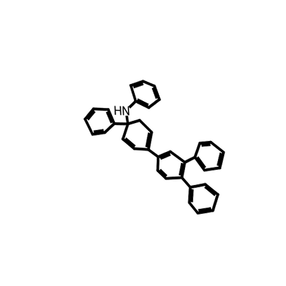 C1=CC(Nc2ccccc2)(c2ccccc2)CC=C1c1ccc(-c2ccccc2)c(-c2ccccc2)c1